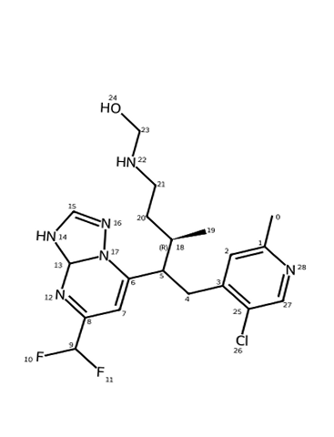 Cc1cc(CC(C2=CC(C(F)F)=NC3NC=NN23)[C@H](C)CCNCO)c(Cl)cn1